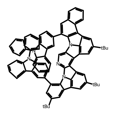 CC(C)(C)c1cc(-c2ccc3c(c2)c2ccccc2n3-c2ccccc2)c2c(c1)c1cc(C(C)(C)C)cc3c4c5c6cc(C(C)(C)C)cc7c8c9ccccc9cc(-c9ccc%10c(c9)c9ccccc9n%10-c9ccccc9)c8n(c5cnc4n2c13)c67